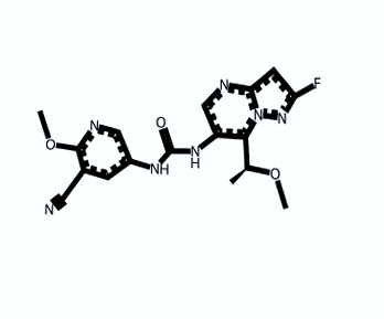 COc1ncc(NC(=O)Nc2cnc3cc(F)nn3c2[C@H](C)OC)cc1C#N